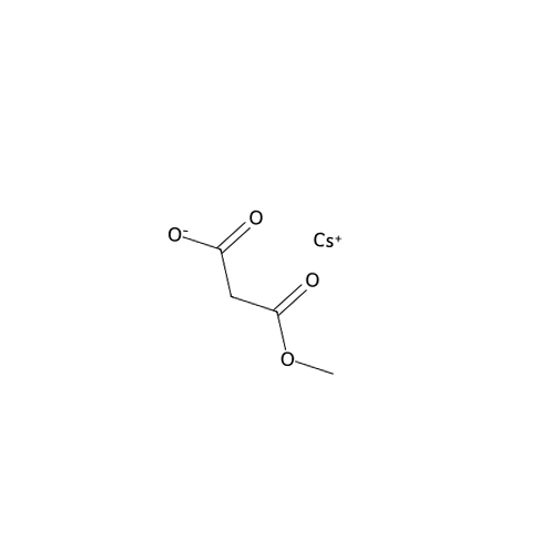 COC(=O)CC(=O)[O-].[Cs+]